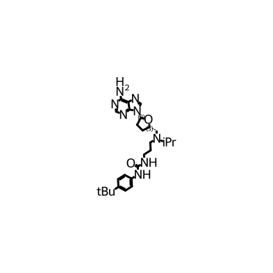 CC(C)N(CCCNC(=O)Nc1ccc(C(C)(C)C)cc1)C[C@@H]1CC[C@H](n2cnc3c(N)ncnc32)O1